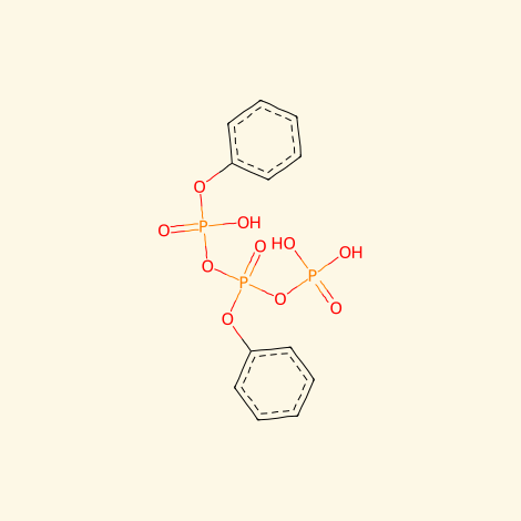 O=P(O)(O)OP(=O)(Oc1ccccc1)OP(=O)(O)Oc1ccccc1